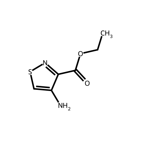 CCOC(=O)c1nscc1N